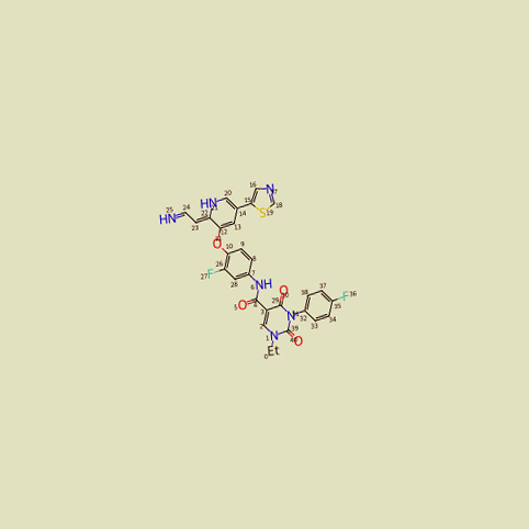 CCn1cc(C(=O)Nc2ccc(OC3=CC(c4cncs4)=CN/C3=C\C=N)c(F)c2)c(=O)n(-c2ccc(F)cc2)c1=O